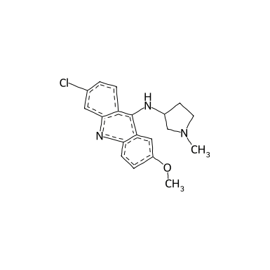 COc1ccc2nc3cc(Cl)ccc3c(NC3CCN(C)C3)c2c1